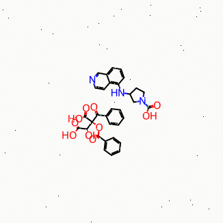 O=C(O)N1CCC(Nc2cccc3cnccc23)C1.O=C(O[C@@](C(=O)O)(C(=O)c1ccccc1)[C@H](O)C(=O)O)c1ccccc1